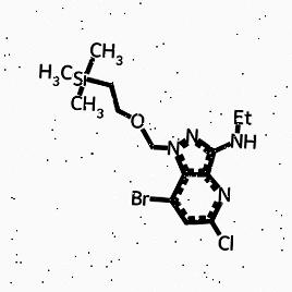 CCNc1nn(COCC[Si](C)(C)C)c2c(Br)cc(Cl)nc12